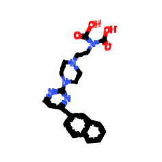 O=C(O)N(CCN1CCN(c2nccc(-c3ccc4ccccc4c3)n2)CC1)C(=O)O